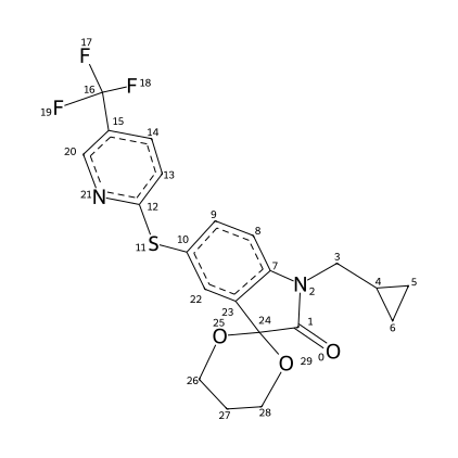 O=C1N(CC2CC2)c2ccc(Sc3ccc(C(F)(F)F)cn3)cc2C12OCCCO2